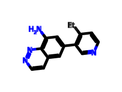 CCc1ccncc1-c1cc(N)c2nnccc2c1